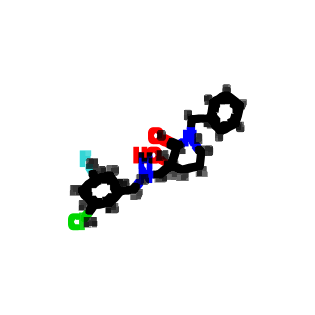 O=C1N(Cc2ccccc2)CCC[C@]1(O)CNCc1cc(F)cc(Cl)c1